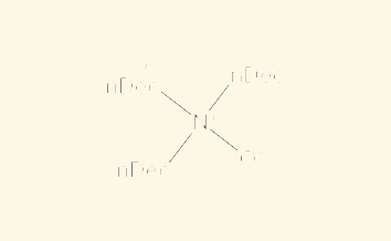 CCCCCCCCCC[N+]([O-])(CCCCCCCCCC)CCCCCCCCCC